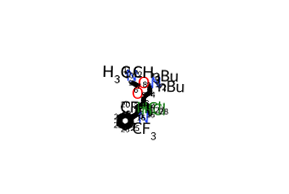 CCCCN(CCCC)CCC(OC(=O)CN(C)C)c1ccnc(-c2c(C(F)(F)F)cccc2C(F)(F)F)c1.Cl.Cl